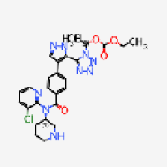 CCOC(=O)O[C@H](C)n1nnnc1-c1c(-c2ccc(C(=O)N(c3ncccc3Cl)[C@@H]3CCCNC3)cc2)cnn1C